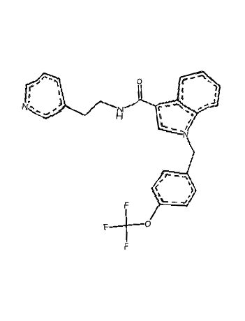 O=C(NCCc1cccnc1)c1cn(Cc2ccc(OC(F)(F)F)cc2)c2ccccc12